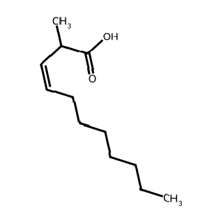 CCCCCCC/C=C\C(C)C(=O)O